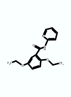 O=C(Nc1ccccn1)c1cc(OCC(F)(F)F)ccc1OCC(F)(F)F